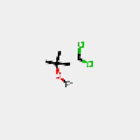 CCOC(C)(C)C.ClCCl